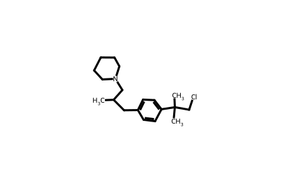 CC(Cc1ccc(C(C)(C)CCl)cc1)CN1CCCCC1